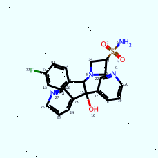 NS(=O)(=O)C1CN(C(c2ccc(F)cc2)C(O)(c2cccnc2)c2cccnc2)C1